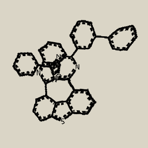 c1ccc(-c2cccc(-c3nc(-c4ccccc4)nc(-c4cccc5sc6cccc(-c7nc8ccccc8o7)c6c45)n3)c2)cc1